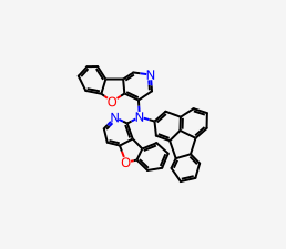 c1ccc2c(c1)-c1cccc3cc(N(c4cncc5c4oc4ccccc45)c4nccc5oc6ccccc6c45)cc-2c13